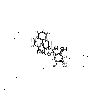 Cc1cc(S(=O)(=O)Nc2nnc3n2-c2ccccc2NC3)c(S)cc1Cl